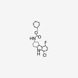 O=C(NC1CCc2[nH]c3c(Cl)ccc(F)c3c2C1)OCc1ccccc1